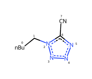 CCCCCn1nnnc1C#N